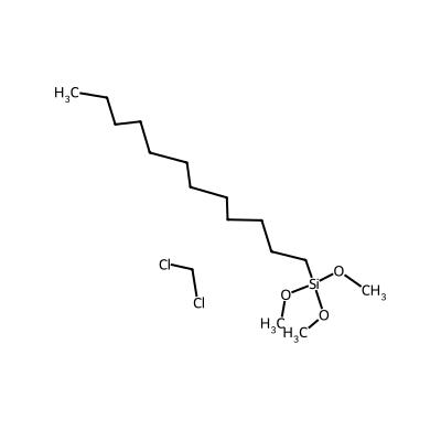 CCCCCCCCCCCC[Si](OC)(OC)OC.ClCCl